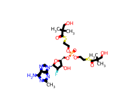 Cc1nc(N)c2ncn([C@@H]3O[C@H](COP(=O)(OCCSC(=O)C(C)(C)CO)OCCSC(=O)C(C)(C)CO)[C@H](O)C3F)c2n1